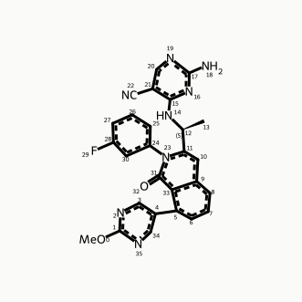 COc1ncc(-c2cccc3cc([C@H](C)Nc4nc(N)ncc4C#N)n(-c4cccc(F)c4)c(=O)c23)cn1